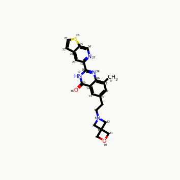 Cc1cc(CCN2CC3(COC3)C2)cc2c(=O)[nH]c(-c3cc4ccsc4cn3)nc12